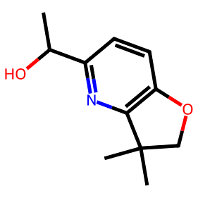 CC(O)c1ccc2c(n1)C(C)(C)CO2